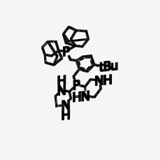 CC(C)(C)c1ccc(CP(C23CC4CC(CC(C4)C2)C3)C23CC4CC(CC(C4)C2)C3)c(CP(C2CNCCN2)C2CNCCN2)c1